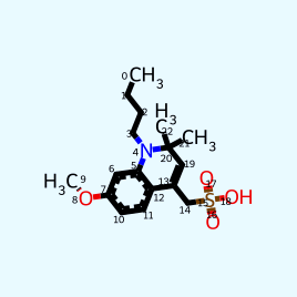 CCCCN1c2cc(OC)ccc2C(CS(=O)(=O)O)=CC1(C)C